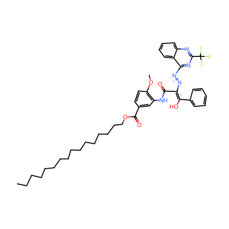 CCCCCCCCCCCCCCCCOC(=O)c1ccc(OC)c(NC(=O)C(/N=N/c2nc(C(F)(F)F)nc3ccccc23)=C(\O)c2ccccc2)c1